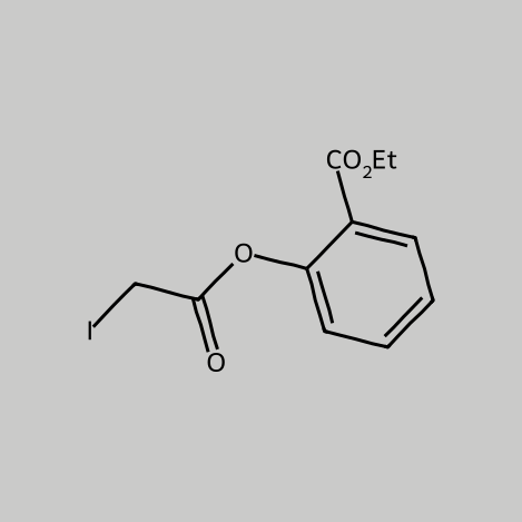 CCOC(=O)c1ccccc1OC(=O)CI